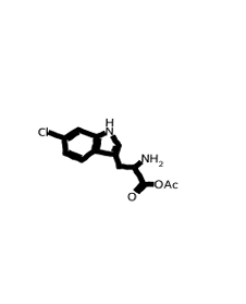 CC(=O)OC(=O)C(N)Cc1c[nH]c2cc(Cl)ccc12